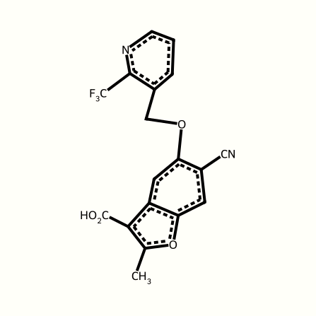 Cc1oc2cc(C#N)c(OCc3cccnc3C(F)(F)F)cc2c1C(=O)O